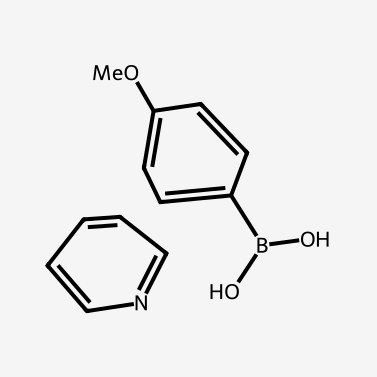 COc1ccc(B(O)O)cc1.c1ccncc1